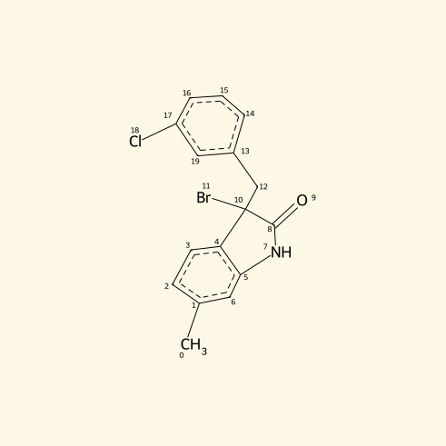 Cc1ccc2c(c1)NC(=O)C2(Br)Cc1cccc(Cl)c1